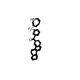 C1=CC=CNC=C1.O=C(c1cccc(C(F)(F)F)c1)C1C=c2c(ccc3c2=CCc2ccccc2-3)CC1